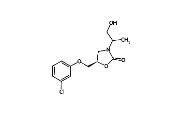 CC(CO)N1C[C@H](COc2cccc(Cl)c2)OC1=O